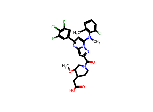 COC1CN(C(=O)c2cc3nc(-c4cc(F)c(Cl)c(F)c4)cc(N(C)c4c(C)cccc4Cl)n3n2)CCC1CC(=O)O